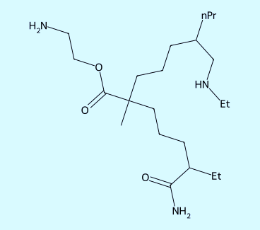 CCCC(CCCC(C)(CCCC(CC)C(N)=O)C(=O)OCCN)CNCC